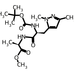 COC(=O)[C@@H](C)NC(=O)[C@H](Cc1cc(C)nn1C)NC(=O)OC(C)(C)C